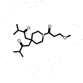 COCCC(=O)N1CCC(CC(=O)C(C)C)(CC(=O)C(C)C)CC1